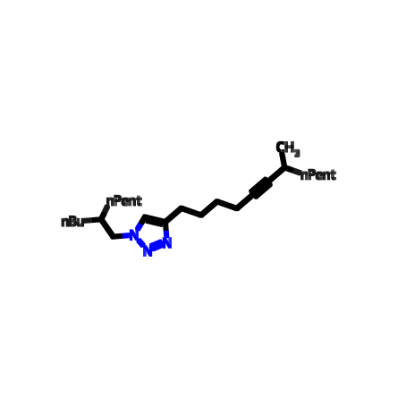 CCCCCC(C)C#CCCCCc1cn(CC(CCCC)CCCCC)nn1